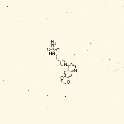 NS(=O)(=O)NCCC1CN(c2ncnc3cc4c(cc23)OCCO4)C1